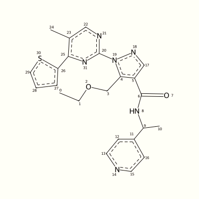 CCOCc1c(C(=O)NC(C)c2ccncc2)cnn1-c1ncc(C)c(-c2cccs2)n1